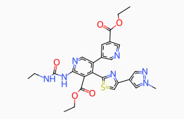 CCNC(=O)Nc1ncc(-c2cncc(C(=O)OCC)c2)c(-c2nc(-c3cnn(C)c3)cs2)c1C(=O)OCC